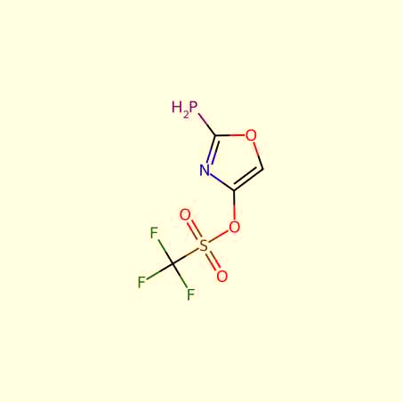 O=S(=O)(Oc1coc(P)n1)C(F)(F)F